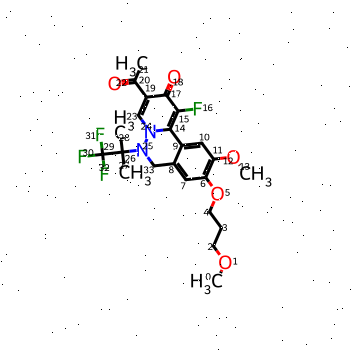 COCCCOc1cc2c(cc1OC)-c1c(F)c(=O)c(C(C)=O)cn1N(C(C)(C)C(F)(F)F)C2